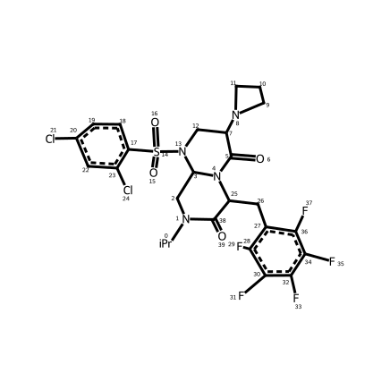 CC(C)N1CC2N(C(=O)C(N3CCC3)CN2S(=O)(=O)c2ccc(Cl)cc2Cl)C(Cc2c(F)c(F)c(F)c(F)c2F)C1=O